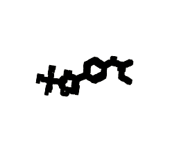 CCN(C)Sc1ccc(-c2noc(C(F)(F)F)n2)cc1